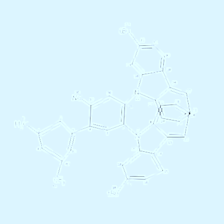 Cc1cc(-c2cc(-n3c4ccccc4c4ccc(C(C)(C)C)cc43)c(-n3c4ccccc4c4ccc(C(C)(C)C)cc43)cc2C#N)cc(C(F)(F)F)c1